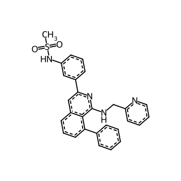 CS(=O)(=O)Nc1cccc(-c2cc3cccc(-c4ccccc4)c3c(NCc3ccccn3)n2)c1